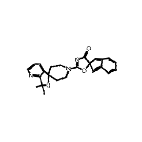 CC1(C)OC2(CCN(C3=NC(=O)C4(C=c5ccccc5=C4)O3)CC2)c2cccnc21